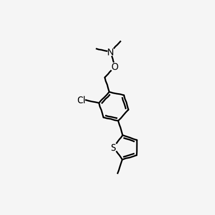 Cc1ccc(-c2ccc(CON(C)C)c(Cl)c2)s1